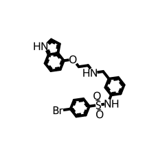 O=S(=O)(Nc1cccc(CNCCOc2cccc3[nH]ccc23)c1)c1ccc(Br)cc1